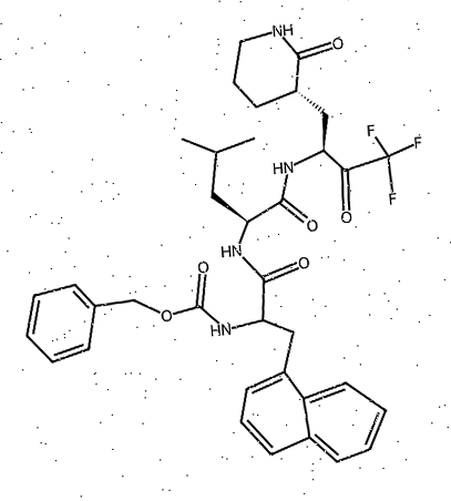 CC(C)C[C@H](NC(=O)C(Cc1cccc2ccccc12)NC(=O)OCc1ccccc1)C(=O)N[C@@H](C[C@@H]1CCCNC1=O)C(=O)C(F)(F)F